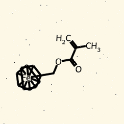 C=C(C)C(=O)OC[C]12[CH]3[CH]4[CH]5[CH]1[Fe]45321678[CH]2[CH]1[CH]6[CH]7[CH]28